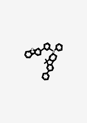 CC1(C)c2cc(-c3ccccc3)ccc2-c2ccc(N(c3ccccc3)c3cccc(-c4ccc5c(c4)oc4ccccc45)c3)cc21